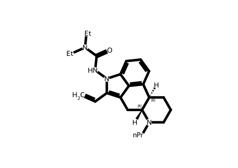 C=Cc1c2c3c(cccc3n1NC(=O)N(CC)CC)[C@H]1CCCN(CCC)[C@@H]1C2